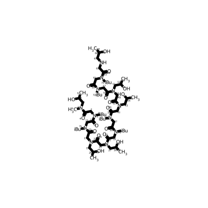 CCC(C)N(CC(=O)N(C)CC(C)O)C(=O)CN(C(=O)CN(CC(C)O)C(=O)CN(CC(C)O)C(=O)CN(C(=O)CN(C(=O)CN(CC(C)O)C(=O)CN(CC(C)O)C(=O)CN(C(=O)CN(C(=O)CNCC(C)O)C(C)CC)C(C)CC)C(C)CC)C(C)CC)C(C)CC